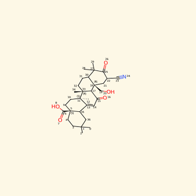 CC1(C)CC[C@]2(C(=O)O)CC[C@]3(C)C(=CC(=O)C4[C@@]5(CO)CC(C#N)C(=O)C(C)(C)C5CC[C@]43C)C2C1